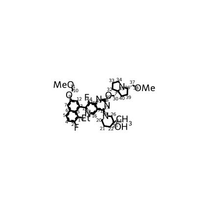 CCc1c(F)ccc2cc(OCOC)cc(-c3ncc4c(N5CCC[C@@](C)(O)C5)nc(OC[C@]56CCCN5[C@H](COC)CC6)nc4c3F)c12